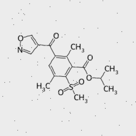 Cc1cc(C(=O)c2cnoc2)c(C)c(C(=O)OC(C)C)c1S(C)(=O)=O